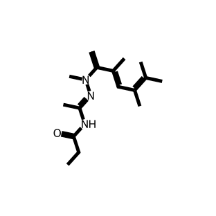 C=C(/C(C)=C/C(C)=C(C)C)N(C)/N=C(\C)NC(=O)CC